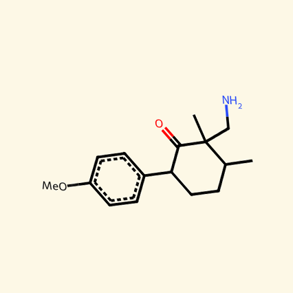 COc1ccc(C2CCC(C)C(C)(CN)C2=O)cc1